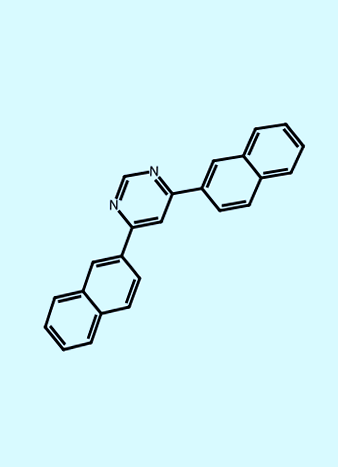 c1ccc2cc(-c3cc(-c4ccc5ccccc5c4)ncn3)ccc2c1